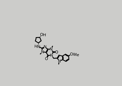 COc1ccc2c(c1)cc(Cn1c(=O)c3c(nc(N[C@@H]4CC[C@H](O)C4)n3C)n(C)c1=O)n2C